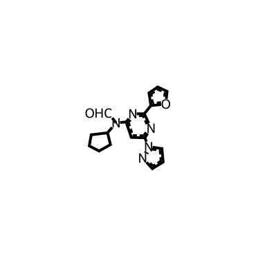 O=CN(c1cc(-n2cccn2)nc(-c2ccco2)n1)C1CCCC1